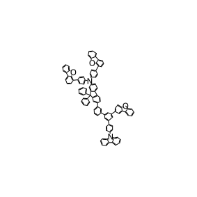 c1ccc(C2(c3ccccc3)c3cc(-c4cccc(-c5cc(-c6ccc(-n7c8ccccc8c8ccccc87)cc6)cc(-c6ccc7oc8ccccc8c7c6)c5)c4)ccc3-c3ccc(N(c4ccc(-c5cccc6c5oc5ccccc56)cc4)c4ccc(-c5cccc6c5oc5ccccc56)cc4)cc32)cc1